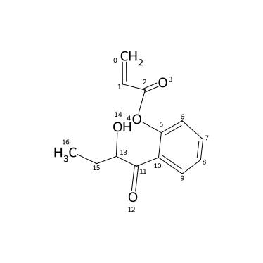 C=CC(=O)Oc1ccccc1C(=O)C(O)CC